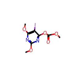 COC(=O)Oc1nc(OC)nc(OC)c1I